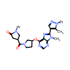 CCn1ncc(-c2nc3c(OC4CCN(C(=O)C5CC(=O)N(C(C)C)C5)C4)ncnc3n2C)c1C